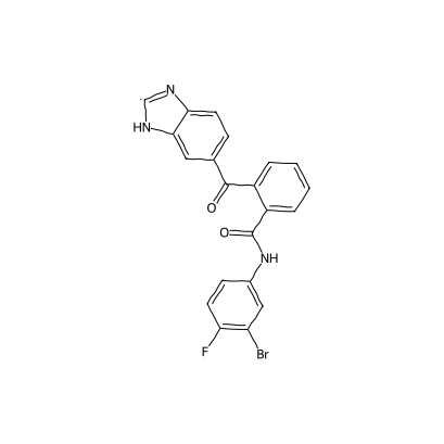 O=C(Nc1ccc(F)c(Br)c1)c1ccccc1C(=O)c1ccc2n[c][nH]c2c1